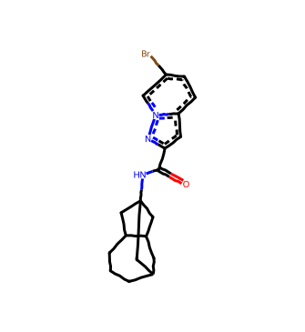 O=C(NC12CC3CCCC(C1)C(C3)C2)c1cc2ccc(Br)cn2n1